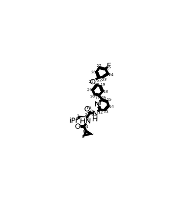 CC(C)C[C@H](NC(=O)C1CC1)C(=O)Nc1cccc(-c2ccc(Oc3ccc(F)cc3)cc2)n1